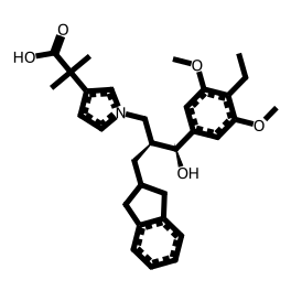 CCc1c(OC)cc([C@@H](O)[C@@H](CC2Cc3ccccc3C2)Cn2ccc(C(C)(C)C(=O)O)c2)cc1OC